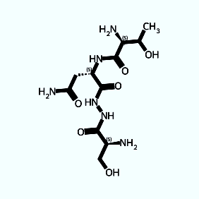 CC(O)[C@H](N)C(=O)N[C@@H](CC(N)=O)C(=O)NNC(=O)[C@@H](N)CO